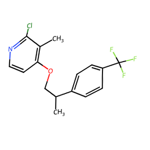 Cc1c(OCC(C)c2ccc(C(F)(F)F)cc2)ccnc1Cl